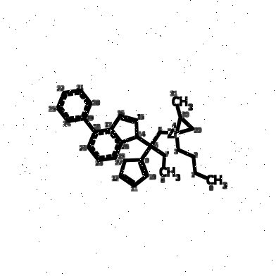 CCC[CH2][Zr]1([CH2]C(CC)(C2=CC=CC2)C2C=Cc3c(-c4ccccc4)cccc32)[CH2][CH]1C